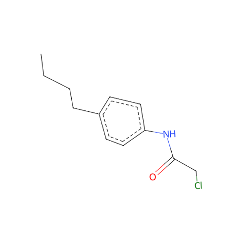 CCCCc1ccc(NC(=O)CCl)cc1